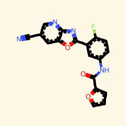 N#Cc1cnc2nc(-c3cc(NC(=O)c4ccco4)ccc3F)oc2c1